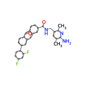 Cc1cc(CNC(=O)c2ccc3c(c2)c2oc3c3ccc(-c4ccc(F)cc4F)cc32)c(C)nc1N